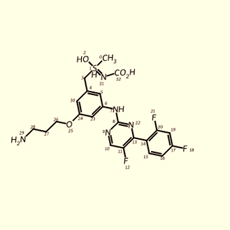 C[SH](O)(Cc1cc(Nc2ncc(F)c(-c3ccc(F)cc3F)n2)cc(OCCCN)c1)=NC(=O)O